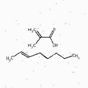 C/C=C/CCCCC.C=C(C)C(=O)O